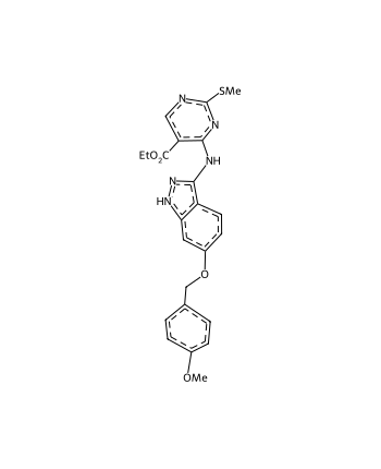 CCOC(=O)c1cnc(SC)nc1Nc1n[nH]c2cc(OCc3ccc(OC)cc3)ccc12